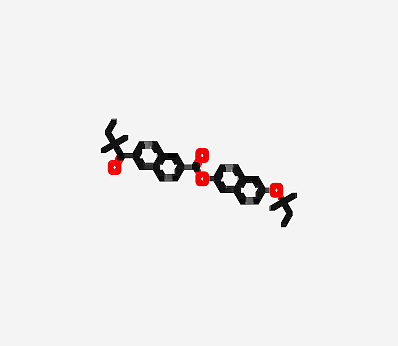 CCC(C)(C)Oc1ccc2cc(OC(=O)c3ccc4cc(C(=O)C(C)(C)CC)ccc4c3)ccc2c1